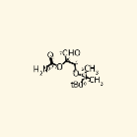 CC(C)(C)[Si](C)(C)OCC(C=O)OC(N)=O